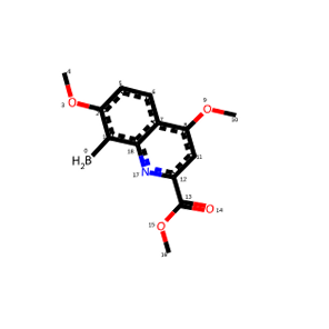 Bc1c(OC)ccc2c(OC)cc(C(=O)OC)nc12